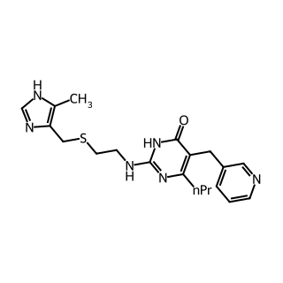 CCCc1nc(NCCSCc2nc[nH]c2C)[nH]c(=O)c1Cc1cccnc1